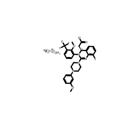 COc1cccc(N2CCN(C3=Nc4c(F)cccc4[C@H](CC(=O)[O-])N3c3cccc(C(F)(F)F)c3OC)CC2)c1.O.O.O.[Na+]